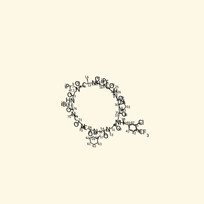 CCC(C)[C@@H]1NC(=O)[C@H](CC(C)C)N(C)C(=O)C[C@@H](C)NC(=O)[C@H](C(C)C)N(C)C(=O)C(C)(C)NC(=O)[C@@H]2CCCN2C(=O)[C@H](CCc2ccc(C(F)(F)F)c(Cl)c2)NC(=O)CN(C)C(=O)[C@H](CC2CCCCC2)N(C)C(=O)CN(C)C(=O)CN(C)C1=O